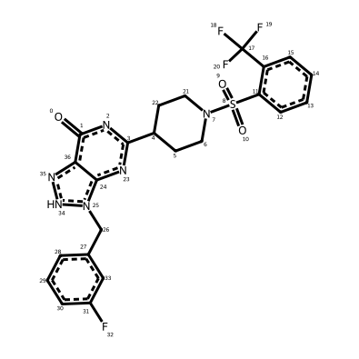 O=c1nc(C2CCN(S(=O)(=O)c3ccccc3C(F)(F)F)CC2)nc2n(Cc3cccc(F)c3)[nH]nc1-2